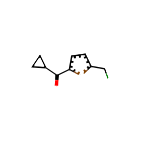 O=C(c1ccc(CBr)s1)C1CC1